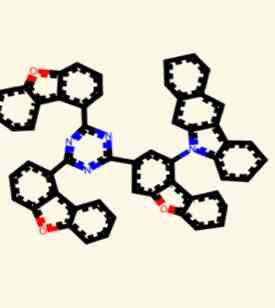 c1ccc2cc3c(cc2c1)c1ccccc1n3-c1cc(-c2nc(-c3cccc4oc5ccccc5c34)nc(-c3cccc4oc5ccccc5c34)n2)cc2oc3ccccc3c12